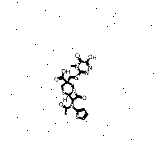 CC(=O)N(c1cccs1)C1C(=O)N2CC(CSc3nnc(O)c(=O)n3C)(C(=O)O)CS[C@H]12